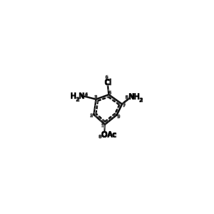 CC(=O)Oc1cc(N)c(Cl)c(N)c1